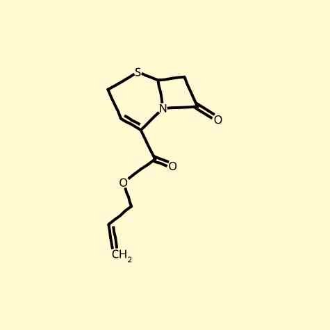 C=CCOC(=O)C1=CCSC2CC(=O)N12